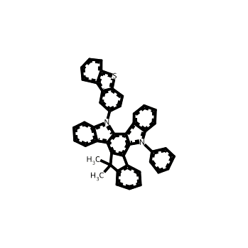 CC1(C)c2ccccc2-c2c1c1c3ccccc3n(-c3ccc4sc5ccccc5c4c3)c1c1c3ccccc3n(-c3ccccc3)c21